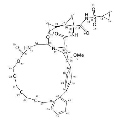 CO[C@@]12C[C@@H](C(=O)N[C@]3(C(=O)NS(=O)(=O)C4CC4)C[C@@H]3C3CC3)N(C1)C(=O)CNC(=O)OCCCCCCCc1ccccc1-c1ccc2cc1